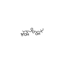 CCC(C)(C)CCC(O)COC(=O)CCSCC(C)C(O)N(C)C